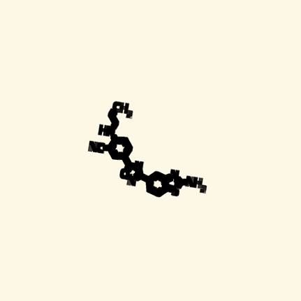 C=CCNc1ccc(-c2nc(-c3ccc4sc(N)nc4c3)no2)cc1C#N